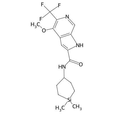 COc1c(C(F)(F)F)ncc2[nH]c(C(=O)NC3CC[Si](C)(C)CC3)cc12